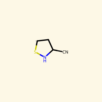 N#CC1C[CH]SN1